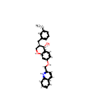 O=C(O)c1cccc(C[C@@H]2COc3cc(OCc4ccc5ccccc5n4)ccc3[C@H]2O)c1